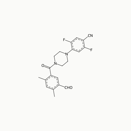 Cc1cc(C)c(C(=O)N2CCN(c3cc(F)c(C#N)cc3F)CC2)cc1C=O